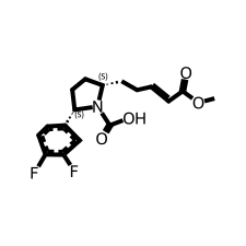 COC(=O)C=CCC[C@H]1CC[C@@H](c2ccc(F)c(F)c2)N1C(=O)O